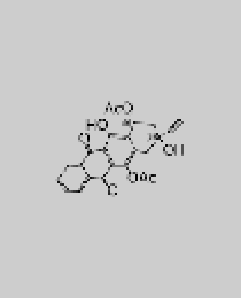 C#C[C@]1(O)Cc2c(OC(C)=O)c3c(c(O)c2[C@H](OC(C)=O)C1)C(=O)c1ccccc1C3=O